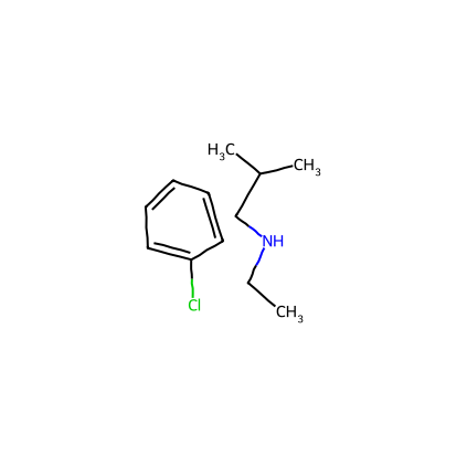 CCNCC(C)C.Clc1ccccc1